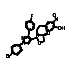 O=Nc1cc(CCN2C(=O)COC2c2cn(-c3ccc(Br)cc3)nc2-c2ccc(F)cc2)ccc1O